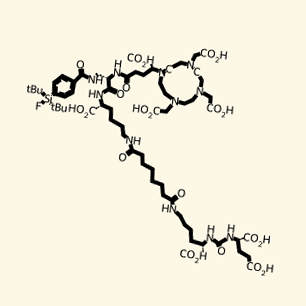 CC(C)(C)[Si](F)(c1ccc(C(=O)NC[C@H](NC(=O)CC[C@@H](C(=O)O)N2CCN(CC(=O)O)CCN(CC(=O)O)CCN(CC(=O)O)CC2)C(=O)N[C@H](CCCCNC(=O)CCCCCCC(=O)NCCCC[C@H](NC(=O)N[C@@H](CCC(=O)O)C(=O)O)C(=O)O)C(=O)O)cc1)C(C)(C)C